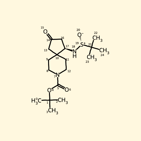 CC(C)(C)OC(=O)N1CCC2(CC1)CC(=O)C[C@H]2N[S@+]([O-])C(C)(C)C